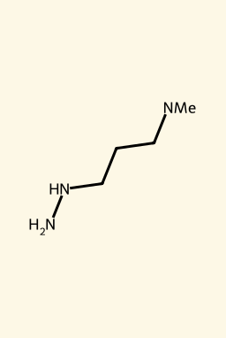 CNCCCNN